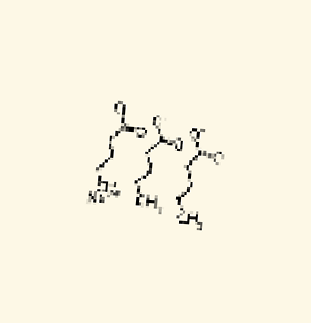 CCCCC(=O)[O-].CCCCC(=O)[O-].CCCCC(=O)[O-].[Nd+3]